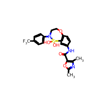 Cc1nc(C)c(C(=O)Nc2ccc3c(c2)S(O)(O)N(c2ccc(C(F)(F)F)cc2)CCO3)o1